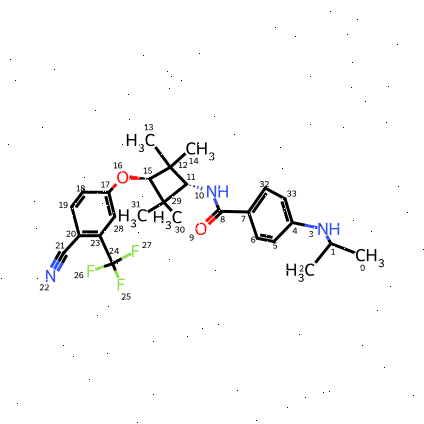 CC(C)Nc1ccc(C(=O)N[C@H]2C(C)(C)[C@H](Oc3ccc(C#N)c(C(F)(F)F)c3)C2(C)C)cc1